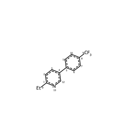 CCc1[c]cc(-c2ccc(C(F)(F)F)cc2)cn1